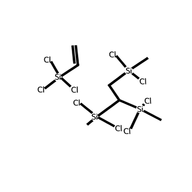 C=C[Si](Cl)(Cl)Cl.C[Si](Cl)(Cl)CC([Si](C)(Cl)Cl)[Si](C)(Cl)Cl